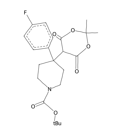 CC(C)(C)OC(=O)N1CCC(c2ccc(F)cc2)(C2C(=O)OC(C)(C)OC2=O)CC1